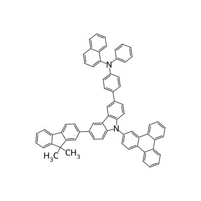 CC1(C)c2ccccc2-c2ccc(-c3ccc4c(c3)c3cc(-c5ccc(N(c6ccccc6)c6cccc7ccccc67)cc5)ccc3n4-c3ccc4c5ccccc5c5ccccc5c4c3)cc21